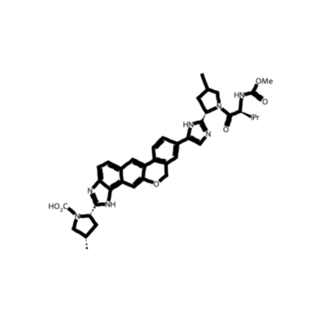 COC(=O)N[C@H](C(=O)N1CC(C)C[C@H]1c1ncc(-c2ccc3c(c2)COc2cc4c(ccc5nc([C@@H]6C[C@H](C)CN6C(=O)O)[nH]c54)cc2-3)[nH]1)C(C)C